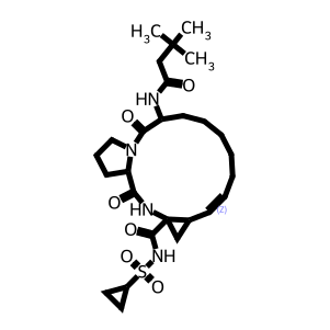 CC(C)(C)CC(=O)NC1CCCCC/C=C\C2CC2(C(=O)NS(=O)(=O)C2CC2)NC(=O)C2CCCN2C1=O